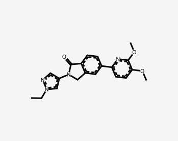 CCn1cc(N2Cc3cc(-c4ccc(OC)c(OC)n4)ccc3C2=O)cn1